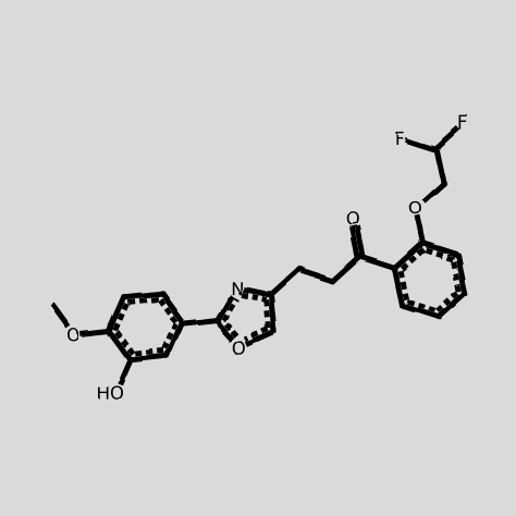 COc1ccc(-c2nc(CCC(=O)c3ccccc3OCC(F)F)co2)cc1O